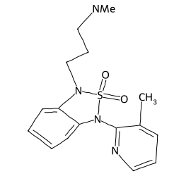 CNCCCN1c2ccccc2N(c2ncccc2C)S1(=O)=O